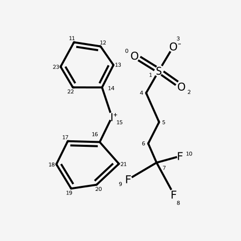 O=S(=O)([O-])CCCC(F)(F)F.c1ccc([I+]c2ccccc2)cc1